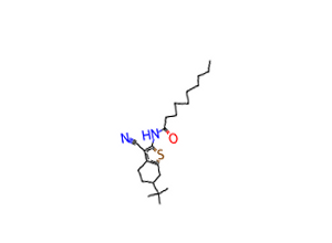 CCCCCCCCCC(=O)Nc1sc2c(c1C#N)CCC(C(C)(C)C)C2